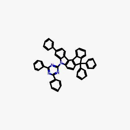 c1ccc(-c2ccc3c4c5c(ccc4n(-c4nc(-c6ccccc6)nc(-c6ccccc6)n4)c3c2)C(c2ccccc2)(c2ccccc2)c2ccccc2-5)cc1